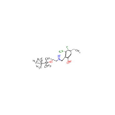 CCc1cc(O)c(CNCCO[Si](C)(C)C(C)(C)C)c(Cl)c1F